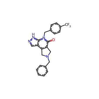 O=c1c2c(c3cn[nH]c3n1Cc1ccc(C(F)(F)F)cc1)CN(Cc1ccccc1)C2